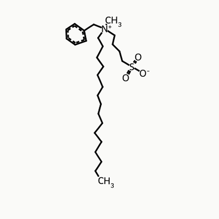 CCCCCCCCCCCCCCCC[N+](C)(CCCCS(=O)(=O)[O-])Cc1ccccc1